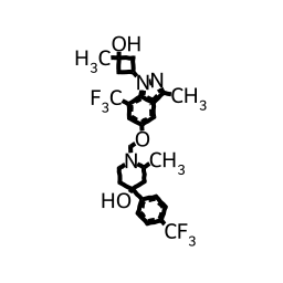 Cc1nn(C2CC(C)(O)C2)c2c(C(F)(F)F)cc(OCN3CCC(O)(c4ccc(C(F)(F)F)cc4)CC3C)cc12